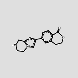 O=C1OCCc2cc(-c3cn4c(n3)CNCC4)ccc21